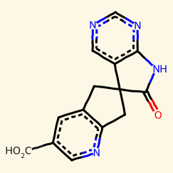 O=C(O)c1cnc2c(c1)CC1(C2)C(=O)Nc2ncncc21